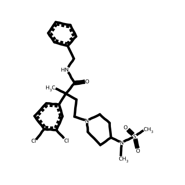 CN(C1CCN(CCC(C)(C(=O)NCc2ccccc2)c2ccc(Cl)c(Cl)c2)CC1)S(C)(=O)=O